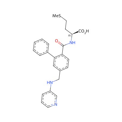 CSCC[C@H](NC(=O)c1ccc(CNc2cccnc2)cc1-c1ccccc1)C(=O)O